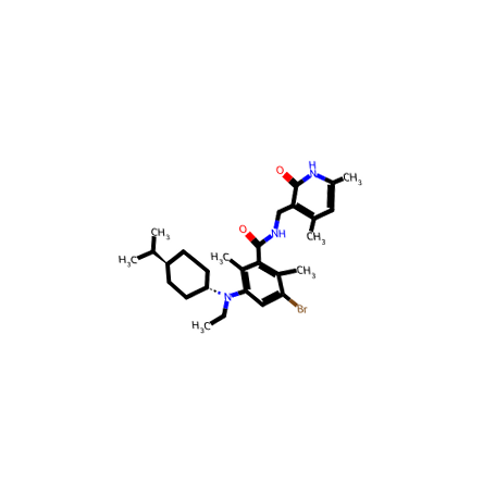 CCN(c1cc(Br)c(C)c(C(=O)NCc2c(C)cc(C)[nH]c2=O)c1C)[C@H]1CC[C@H](C(C)C)CC1